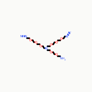 [N-]=[N+]=NCCOCCOCCOCCN(CCOCCOCCN)CCOCCOCCOCCN=[N+]=[N-]